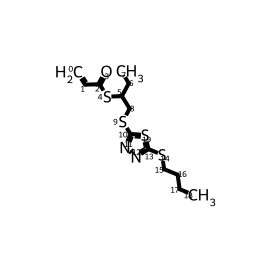 C=CC(=O)SC(CC)CSc1nnc(SCCCC)s1